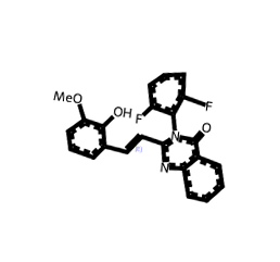 COc1cccc(/C=C/c2nc3ccccc3c(=O)n2-c2c(F)cccc2F)c1O